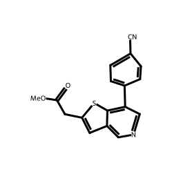 COC(=O)Cc1cc2cncc(-c3ccc(C#N)cc3)c2s1